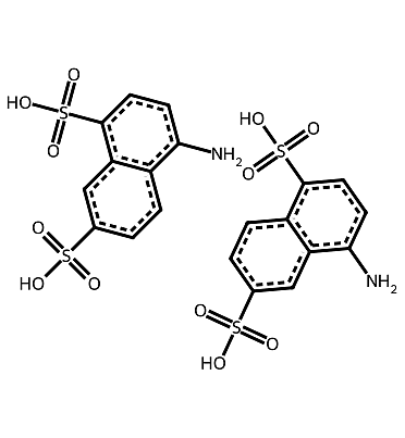 Nc1ccc(S(=O)(=O)O)c2cc(S(=O)(=O)O)ccc12.Nc1ccc(S(=O)(=O)O)c2ccc(S(=O)(=O)O)cc12